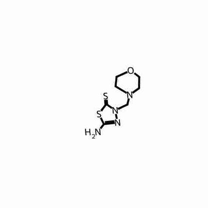 Nc1nn(CN2CCOCC2)c(=S)s1